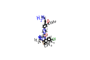 COC(=O)c1cc(N2CCN(C(=O)C[C@@H]3N=C(c4ccc(Cl)cc4)c4c(sc(C)c4C)-n4c(C)nnc43)CC2)ccc1C#CCN